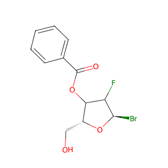 O=C(OC1C(F)[C@@H](Br)O[C@@H]1CO)c1ccccc1